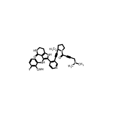 COc1c(F)cccc1Nc1c(-c2ccncc2C#C[C@@]2(C)CCCN2C(=O)C#CCN(C)C)[nH]c2c1C(=O)NCC2